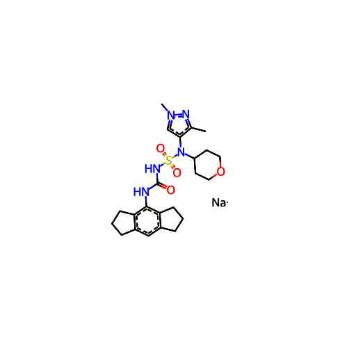 Cc1nn(C)cc1N(C1CCOCC1)S(=O)(=O)NC(=O)Nc1c2c(cc3c1CCC3)CCC2.[Na]